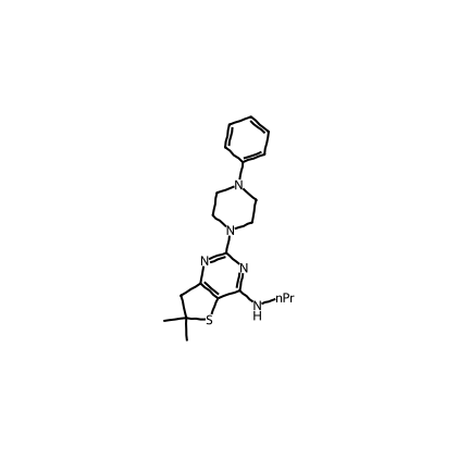 CCCNc1nc(N2CCN(c3ccccc3)CC2)nc2c1SC(C)(C)C2